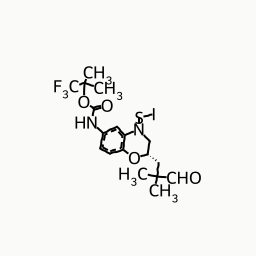 CC(C)(C=O)C[C@H]1CN(SI)c2cc(NC(=O)OC(C)(C)C(F)(F)F)ccc2O1